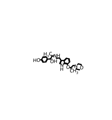 C[C@H](CN1CCOCC1)Oc1cccc2c(CCN[C@@H](C)[C@H](O)c3ccc(O)cc3)c[nH]c12